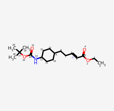 CCOC(=O)/C=C/CCC1CCC(NC(=O)OC(C)(C)C)CC1